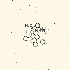 CC(C)c1cccc2c1N1C(=O)c3cc(-c4ccccc4)c4c5c(c(-c6ccccc6)cc(c35)C1(C)OC2C)Oc1ccccc1-4